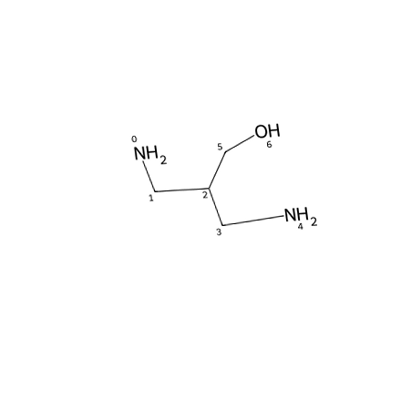 NCC(CN)CO